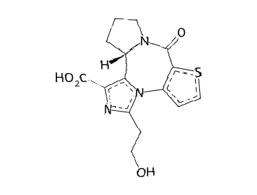 O=C(O)c1nc(CCO)n2c1[C@@H]1CCCN1C(=O)c1sccc1-2